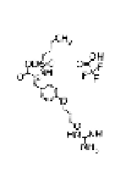 CCCCS(=O)(=O)N[C@@H](Cc1ccc(OCCCONC(=N)N)cc1)C(=O)O.O=C(O)C(F)(F)F